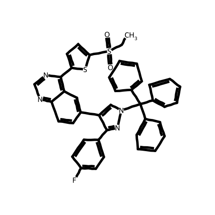 CCS(=O)(=O)c1ccc(-c2ncnc3ccc(-c4cn(C(c5ccccc5)(c5ccccc5)c5ccccc5)nc4-c4ccc(F)cc4)cc23)s1